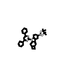 CC1(C)OB(c2ccc3c(c2)c2cc4c(cc2n3-c2nc(-c3ccccc3)cc(-c3ccccc3)n2)CC4)OC1(C)C